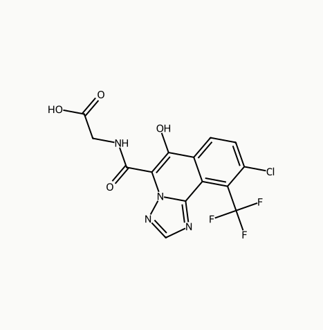 O=C(O)CNC(=O)c1c(O)c2ccc(Cl)c(C(F)(F)F)c2c2ncnn12